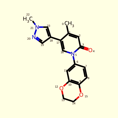 Cc1cc(=O)n(-c2ccc3c(c2)OCCO3)cc1-c1cnn(C)c1